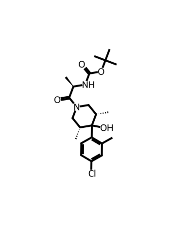 Cc1cc(Cl)ccc1C1(O)[C@H](C)CN(C(=O)[C@@H](C)NC(=O)OC(C)(C)C)C[C@@H]1C